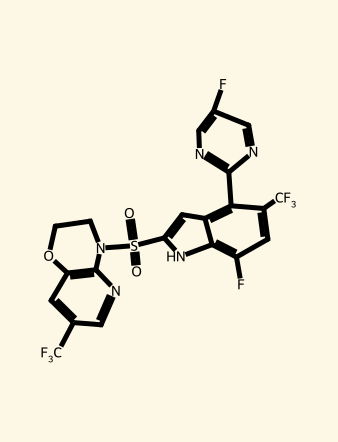 O=S(=O)(c1cc2c(-c3ncc(F)cn3)c(C(F)(F)F)cc(F)c2[nH]1)N1CCOc2cc(C(F)(F)F)cnc21